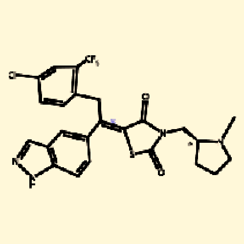 CN1CCC[C@H]1CN1C(=O)S/C(=C(/Cc2ccc(Cl)cc2C(F)(F)F)c2ccc3[nH]ncc3c2)C1=O